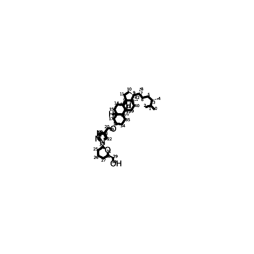 CC(C)[C@@H](C)CC[C@@H](C)[C@H]1CCC2=C3CC[C@H]4C[C@@H](OCc5cn([C@H]6CCC[C@H](CO)O6)nn5)CC[C@]4(C)[C@H]3CC[C@@]21C